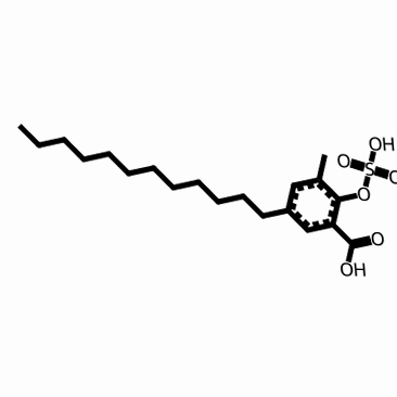 CCCCCCCCCCCCc1cc(C)c(OS(=O)(=O)O)c(C(=O)O)c1